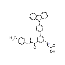 Cc1ccc(CNC(=O)c2cc(/C=C/C(=O)O)cc(-c3ccc(-n4c5ccccc5c5ccccc54)cc3)c2)cc1